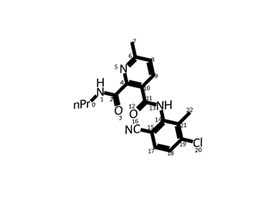 CCCNC(=O)c1nc(C)ccc1C(=O)Nc1c(C#N)ccc(Cl)c1C